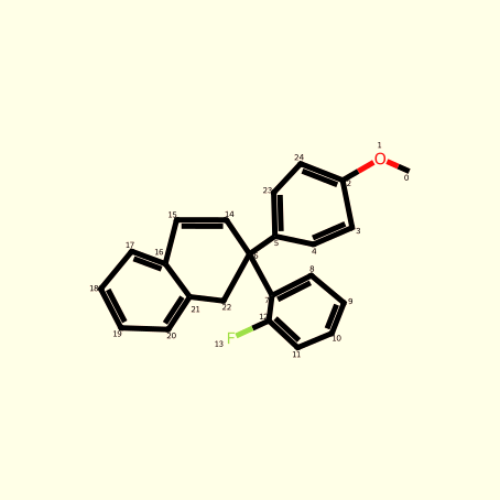 COc1ccc(C2(c3ccccc3F)C=Cc3ccccc3C2)cc1